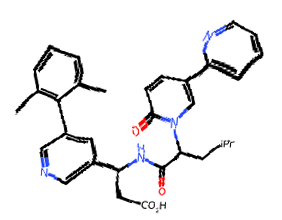 Cc1cccc(C)c1-c1cncc([C@H](CC(=O)O)NC(=O)C(CC(C)C)n2cc(-c3ccccn3)ccc2=O)c1